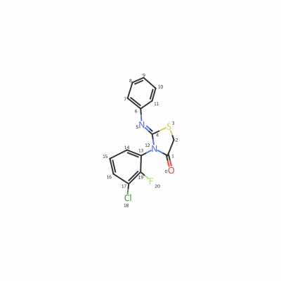 O=C1CSC(=Nc2ccccc2)N1c1cccc(Cl)c1F